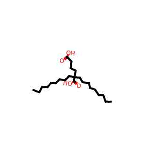 CCCCCCCCCC(CCCCCCCCC)(CCCC(=O)O)C(=O)O